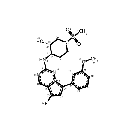 CS(=O)(=O)N1CC[C@@H](Nc2ncc3c(F)cc(-c4cccc(OC(F)(F)F)n4)n3n2)[C@H](O)C1